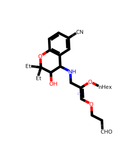 CCCCCCO/C(=C\OCCC=O)CNC1c2cc(C#N)ccc2OC(CC)(CC)C1O